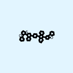 c1ccc2c(c1)oc1ccc(-c3c4ccccc4c(-c4ccc(-c5cc6sc7ccc8oc9ccccc9c8c7c6c6ccccc56)cc4)c4ccccc34)cc12